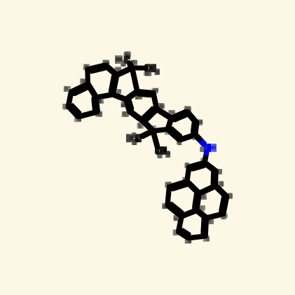 CC1(C)c2cc(Nc3cc4ccc5cccc6ccc(c3)c4c56)ccc2-c2cc3c(cc21)-c1c(ccc2ccccc12)C3(C)C